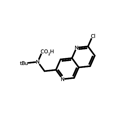 CC(C)(C)N(Cc1cc2nc(Cl)ccc2cn1)C(=O)O